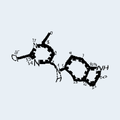 Cc1cc(Nc2ccc3[nH]ccc3c2)nc(Cl)n1